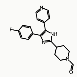 O=CN1CCC(c2nc(-c3ccc(F)cc3)c(-c3ccncc3)[nH]2)CC1